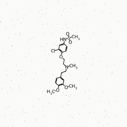 COc1ccc(CCN(C)CCOc2ccc(NS(C)(=O)=O)cc2Cl)cc1OC